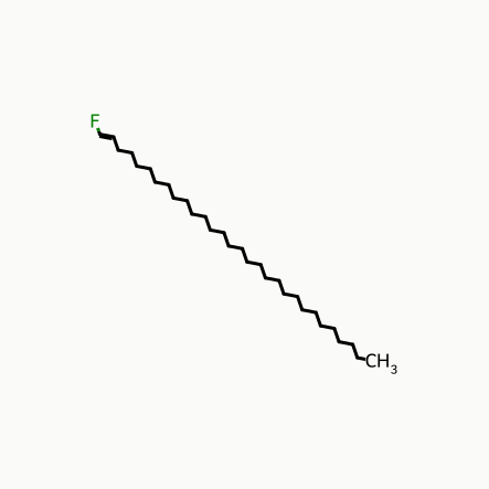 CCCCCCCCCCCCCCCCCCCCCCCCCCCCC=CF